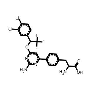 Nc1nc(OC(c2ccc(Cl)c(Cl)c2)C(F)(F)F)cc(-c2ccc(CC(N)C(=O)O)cc2)n1